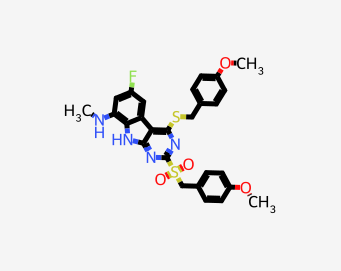 CNc1cc(F)cc2c1[nH]c1nc(S(=O)(=O)Cc3ccc(OC)cc3)nc(SCc3ccc(OC)cc3)c12